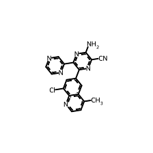 Cc1ccnc2c(Cl)cc(-c3nc(C#N)c(N)nc3-c3cnccn3)cc12